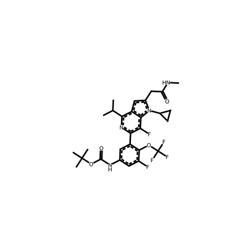 CNC(=O)Cc1cc2c(C(C)C)nc(-c3cc(NC(=O)OC(C)(C)C)cc(F)c3OC(F)(F)F)c(F)c2n1C1CC1